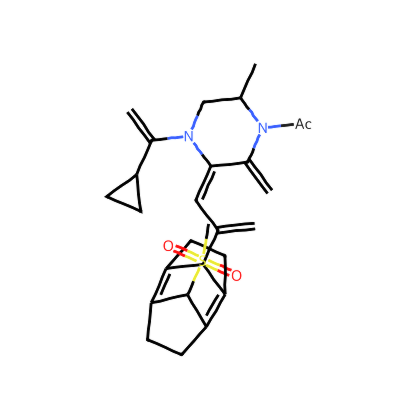 C=C(/C=C1\C(=C)N(C(C)=O)C(C)CN1C(=C)C1CC1)C1C2=C3CCC(=C1CC2)C3S(C)(=O)=O